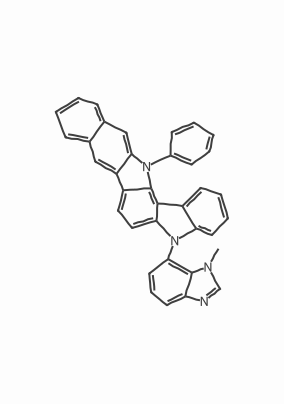 Cn1cnc2cccc(-n3c4ccccc4c4c3ccc3c5cc6ccccc6cc5n(-c5ccccc5)c34)c21